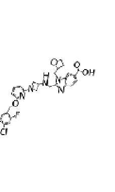 O=C(O)c1ccc2nc(CNC3CN(c4cccc(OCc5ccc(Cl)cc5F)n4)C3)n(CC3CCO3)c2c1